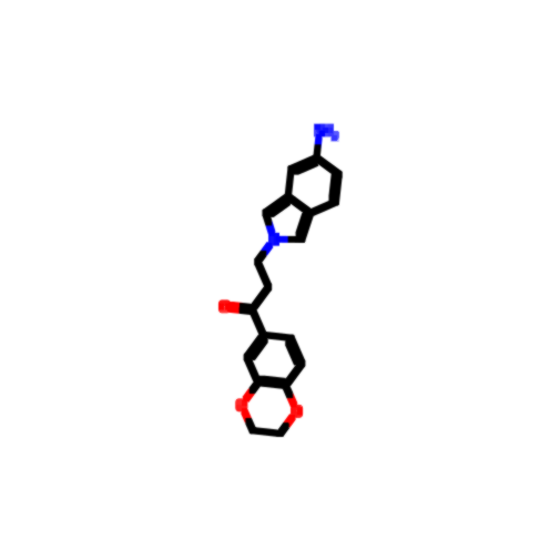 Nc1ccc2cn(CCC(=O)c3ccc4c(c3)OCCO4)cc2c1